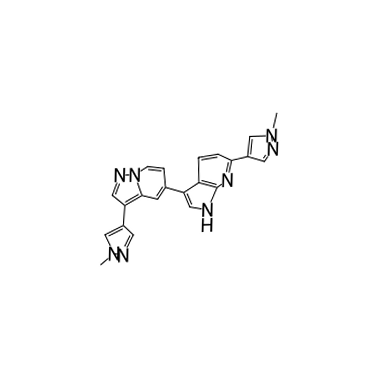 Cn1cc(-c2ccc3c(-c4ccn5ncc(-c6cnn(C)c6)c5c4)c[nH]c3n2)cn1